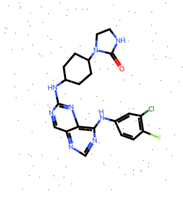 O=C1NCCN1C1CCC(Nc2ncc3ncnc(Nc4ccc(F)c(Cl)c4)c3n2)CC1